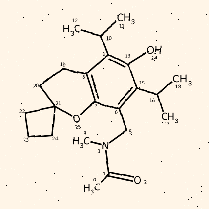 CC(=O)N(C)Cc1c2c(c(C(C)C)c(O)c1C(C)C)CCC1(CCC1)O2